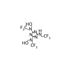 OCN(CC(F)(F)F)c1nc(NCC(F)(F)F)nc(N(CO)CC(F)(F)F)n1